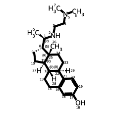 C[C@@H](NCCN(C)C)[C@H]1CC[C@@H]2[C@H]3CCc4cc(O)ccc4[C@@H]3CC[C@]21C